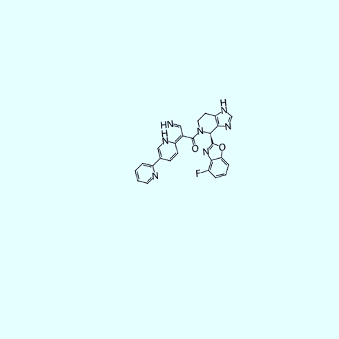 N=C/C(C(=O)N1CCc2[nH]cnc2[C@H]1c1nc2c(F)cccc2o1)=C1/C=CC(c2ccccn2)=CN1